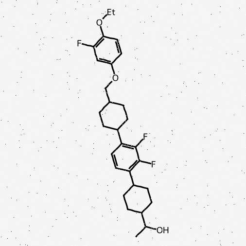 CCOc1ccc(OCC2CCC(c3ccc(C4CCC(C(C)O)CC4)c(F)c3F)CC2)cc1F